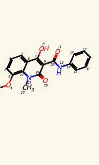 COc1cccc2c(O)c(C(=O)Nc3ccccc3)c(=O)n(C)c12